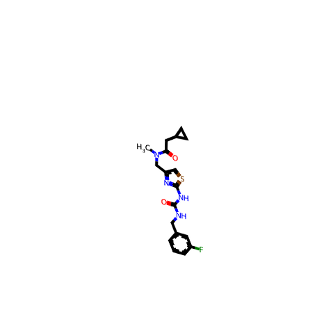 CN(Cc1csc(NC(=O)NCc2cccc(F)c2)n1)C(=O)CC1CC1